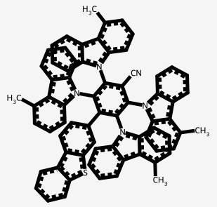 Cc1cccc2c1c1ccccc1n2-c1c(C#N)c(-n2c3ccccc3c3c(C)cccc32)c(-n2c3ccccc3c3c(C)cccc32)c(-c2ccc3c(c2)sc2ccccc23)c1-n1c2ccccc2c2c(C)cccc21